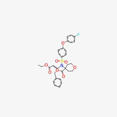 CCOC(=O)C=CN(C1(C(=O)OCc2ccccc2)CCOCC1)S(=O)(=O)c1ccc(Oc2ccc(F)cc2)cc1